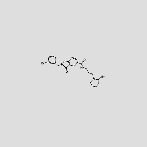 CC(C)C1CCCCN1CCCNC(=O)c1ccc2c(c1)C(=O)N(Cc1cccc(Br)c1)C2